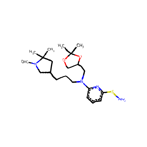 CC1(C)OCC(CN(CCCC2CN(C=O)C(C)(C)C2)c2cccc(SN)n2)O1